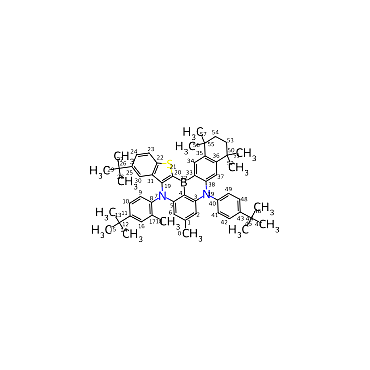 Cc1cc2c3c(c1)N(c1ccc(C(C)(C)C)cc1C)c1c(sc4ccc(C(C)(C)C)cc14)B3c1cc3c(cc1N2c1ccc(C(C)(C)C)cc1)C(C)(C)CCC3(C)C